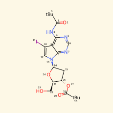 CC(C)(C)C(=O)Nc1ncnc2c1c(I)cn2[C@H]1C[C@H](OC(=O)C(C)(C)C)[C@@H](CO)O1